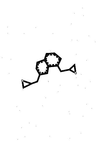 c1cc(CC2CO2)c2cc(CC3CO3)ccc2c1